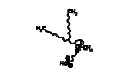 CCCCCCCCCC(CCCCCCCC)CC1CCOC(C)(COCCCS(=O)(=O)O)O1